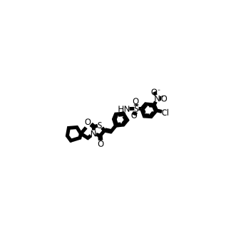 CC1(CN2C(=O)SC(=Cc3ccc(NS(=O)(=O)c4ccc(Cl)c([N+](=O)[O-])c4)cc3)C2=O)CCCCC1